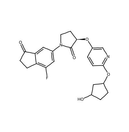 O=C1CCc2c(F)cc(N3CC[C@@H](Oc4ccc(OC5CCC(O)C5)nc4)C3=O)cc21